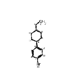 CCC1CCC(c2ccc(Br)cc2)CC1